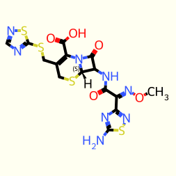 CON=C(C(=O)NC1C(=O)N2C(C(=O)O)=C(CSc3ncns3)CS[C@@H]12)c1nsc(N)n1